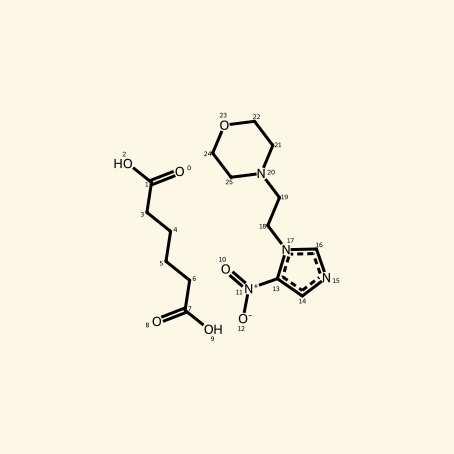 O=C(O)CCCCC(=O)O.O=[N+]([O-])c1cncn1CCN1CCOCC1